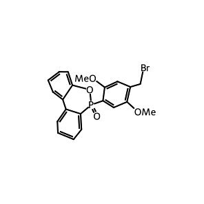 COc1cc(P2(=O)Oc3ccccc3-c3ccccc32)c(OC)cc1CBr